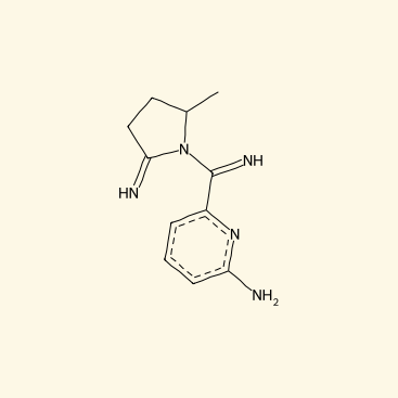 CC1CCC(=N)N1C(=N)c1cccc(N)n1